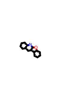 c1ccc2nc3oc4ccccc4c3cc2c1